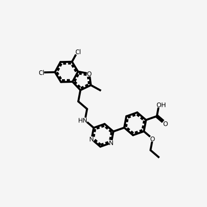 CCOc1cc(-c2cc(NCCc3c(C)oc4c(Cl)cc(Cl)cc34)ncn2)ccc1C(=O)O